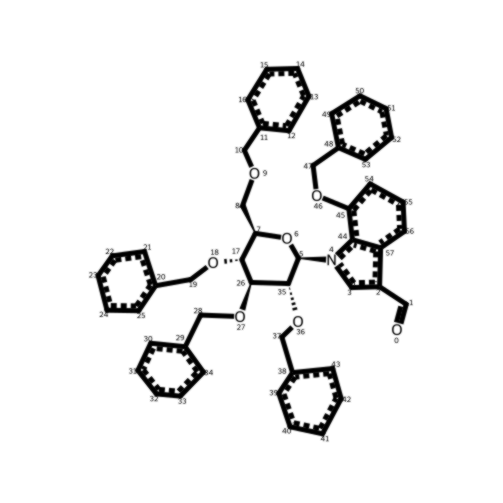 O=Cc1cn([C@@H]2O[C@H](COCc3ccccc3)[C@@H](OCc3ccccc3)[C@H](OCc3ccccc3)[C@H]2OCc2ccccc2)c2c(OCc3ccccc3)cccc12